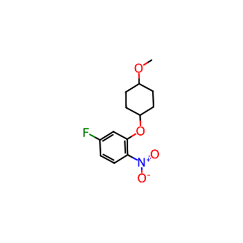 COC1CCC(Oc2cc(F)ccc2[N+](=O)[O-])CC1